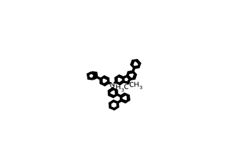 CC1(C)c2ccc(-c3ccccc3)cc2-c2ccc(N(c3ccc(C4CC5CCC4C5)cc3)c3cccc(-c4ccccc4C4CCCCC4)c3)cc21